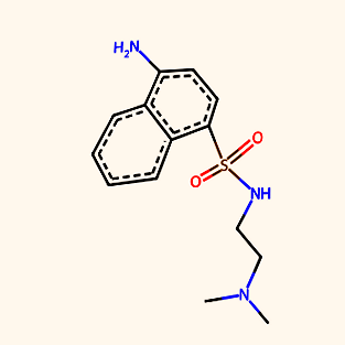 CN(C)CCNS(=O)(=O)c1ccc(N)c2ccccc12